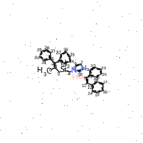 CC(C[SiH2]Cn1ccnc1BC(=Cc1ccccc1)c1ccccc1)=C(c1ccccc1)c1ccccc1